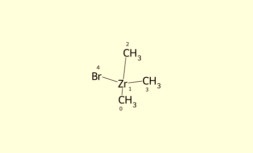 [CH3][Zr]([CH3])([CH3])[Br]